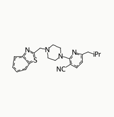 CC(C)Cc1ccc(C#N)c(N2CCN(Cc3nc4ccccc4s3)CC2)n1